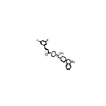 O=C(/C=C/c1cc(F)cc(F)c1)N1CCC([C@H](O)CN2CCC3(CC2)CNc2ccccc23)CC1